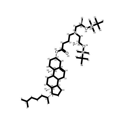 CC(C)CCCC(C)[C@H]1CCC2C3CC=C4C[C@@H](OC(=O)CCCN(C[C@@H](C)O[Si](C)(C)C(C)(C)C)C[C@@H](C)O[Si](C)(C)C(C)(C)C)CC[C@]4(C)C3CC[C@@]21C